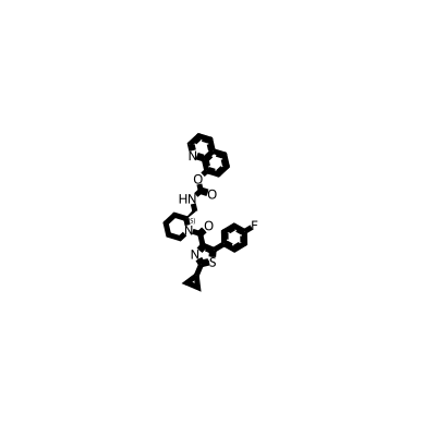 O=C(NC[C@@H]1CCCCN1C(=O)c1nc(C2CC2)sc1-c1ccc(F)cc1)Oc1cccc2cccnc12